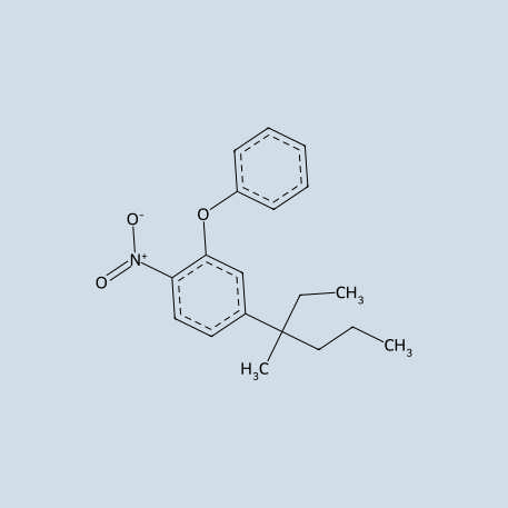 CCCC(C)(CC)c1ccc([N+](=O)[O-])c(Oc2ccccc2)c1